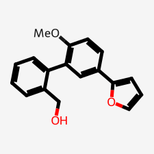 COc1ccc(-c2ccco2)cc1-c1ccccc1CO